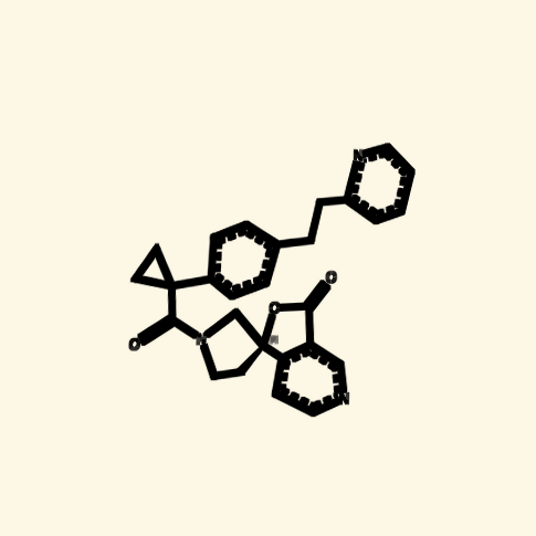 O=C1O[C@]2(CCN(C(=O)C3(c4ccc(CCc5ccccn5)cc4)CC3)C2)c2ccncc21